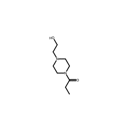 CCC(=O)N1CCN([CH]CO)CC1